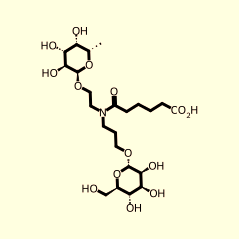 C[C@@H]1O[C@@H](OCCN(CCCO[C@H]2O[C@H](CO)[C@@H](O)[C@H](O)[C@@H]2O)C(=O)CCCCC(=O)O)[C@@H](O)[C@H](O)[C@@H]1O